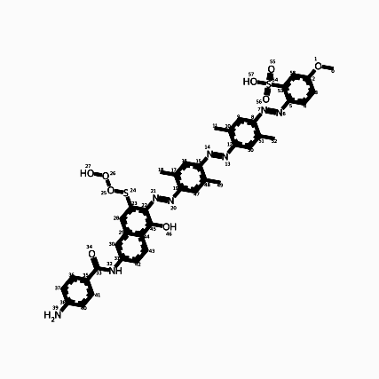 COc1ccc(N=Nc2cc(C)c(N=Nc3cc(C)c(N=Nc4c(SOOO)cc5cc(NC(=O)c6ccc(N)cc6)ccc5c4O)cc3C)cc2C)c(S(=O)(=O)O)c1